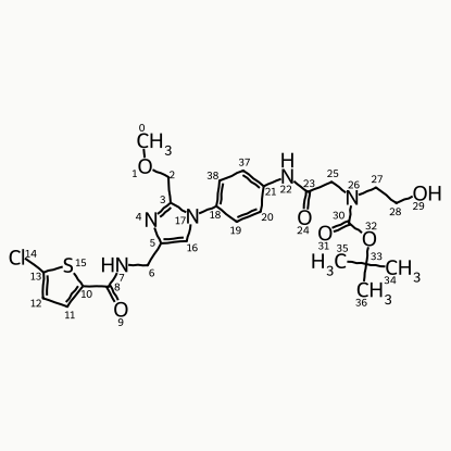 COCc1nc(CNC(=O)c2ccc(Cl)s2)cn1-c1ccc(NC(=O)CN(CCO)C(=O)OC(C)(C)C)cc1